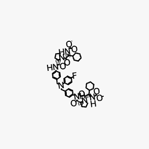 COC(=O)N[C@H](C(=O)N1CCC[C@H]1C(=O)Nc1ccc(CN(Cc2ccc(NC(=O)[C@@H]3CCCN3C(=O)[C@@H](NC(=O)OC)C3CCCCC3)cc2)c2ccc(F)cc2)cc1)C1CCCCC1